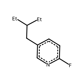 CCC(CC)Cc1ccc(F)nc1